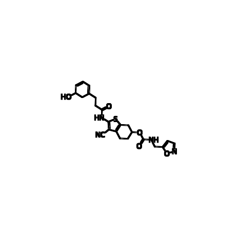 N#Cc1c(NC(=O)CCC2=CC=CC(O)C2)sc2c1CCC(OC(=O)NCc1ccno1)C2